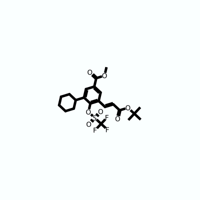 COC(=O)c1cc(/C=C/C(=O)OC(C)(C)C)c(OS(=O)(=O)C(F)(F)F)c(C2CCCCC2)c1